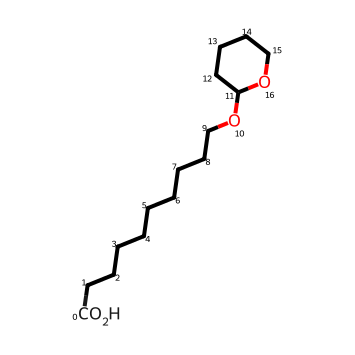 O=C(O)CCCCCCCCCOC1CCCCO1